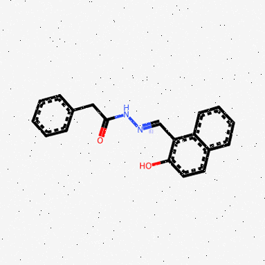 O=C(Cc1ccccc1)N/N=C/c1c(O)ccc2ccccc12